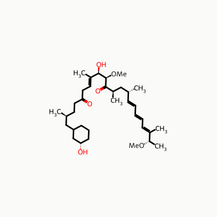 CO[C@@H](C)/C(C)=C/C=C/C=C/[C@@H](C)C[C@@H](C)C(=O)[C@H](OC)[C@H](O)/C(C)=C/CC(=O)CC[C@H](C)CC1CCC[C@H](O)C1